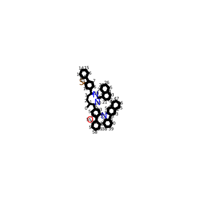 CC1CC/C(c2ccc3c(c2)sc2ccccc23)=N\C(c2cccc3ccccc23)=N/C1c1cc(-n2c3ccccc3c3cc4ccccc4cc32)c2c(c1)oc1ccccc12